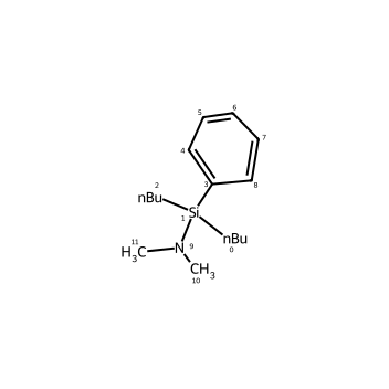 CCCC[Si](CCCC)(c1ccccc1)N(C)C